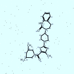 Cc1nc(N2CCC(N3CCc4ccccc4NC3=O)CC2)sc1C(=O)N1CC(C)CC(C)C1